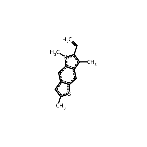 C=Cc1c(C)c2cc3sc(C)cc3cc2n1C